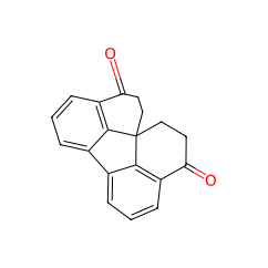 O=C1CCC23CCC(=O)c4cccc(c42)-c2cccc1c23